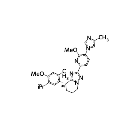 COc1cc(C)c([C@H]2CCCn3nc(-c4ccc(-n5cnc(C)c5)c(OC)n4)nc32)cc1C(C)C